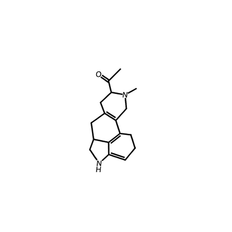 CC(=O)C1CC2=C(CN1C)C1=C3C(=CCC1)NCC3C2